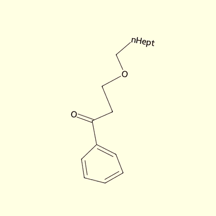 CCCCCCCCOCCC(=O)c1ccccc1